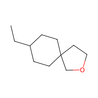 CCC1CCC2(CCOC2)CC1